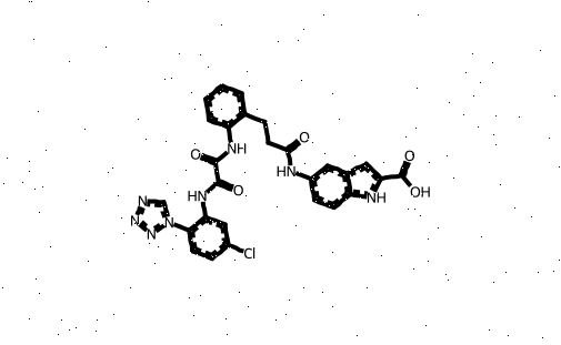 O=C(CCc1ccccc1NC(=O)C(=O)Nc1cc(Cl)ccc1-n1cnnn1)Nc1ccc2[nH]c(C(=O)O)cc2c1